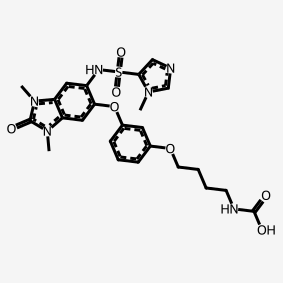 Cn1cncc1S(=O)(=O)Nc1cc2c(cc1Oc1cccc(OCCCCNC(=O)O)c1)n(C)c(=O)n2C